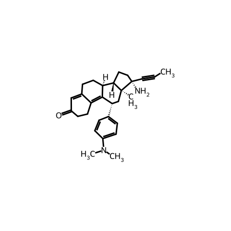 CC#C[C@]1(N)CC[C@H]2[C@@H]3CCC4=CC(=O)CCC4=C3[C@@H](c3ccc(N(C)C)cc3)C[C@@]21C